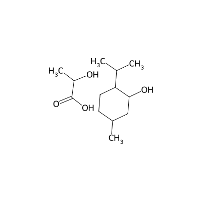 CC(O)C(=O)O.CC1CCC(C(C)C)C(O)C1